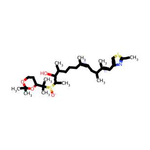 C/C(=C/CC(C)/C(C)=C/c1csc(C)n1)CCCC(C)C(O)C(C)[S+]([O-])C(C)(C)C1CCOC(C)(C)O1